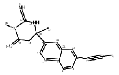 CC#Cc1ccc2ncc(C3(C)CC(=O)N(C)C(=N)N3)cc2c1